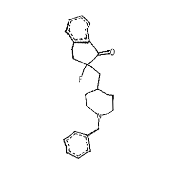 O=C1c2ccccc2CC1(F)CC1CCN(Cc2ccccc2)CC1